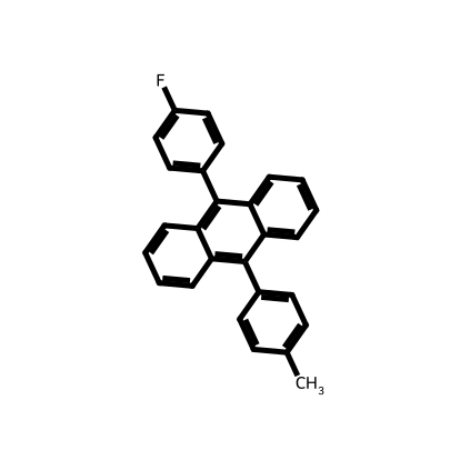 Cc1ccc(-c2c3ccccc3c(-c3ccc(F)cc3)c3ccccc23)cc1